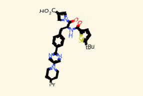 CC(C)C1CCN(c2cnc(-c3ccc(CC(NC(=O)c4ccc(C(C)(C)C)s4)C(=O)N4CC(C(=O)O)C4)cc3)nc2)CC1